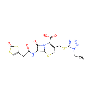 CCn1nnnc1SCC1=C(C(=O)O)N2C(=O)C(NC(=O)Cc3csc(=O)s3)C2SC1